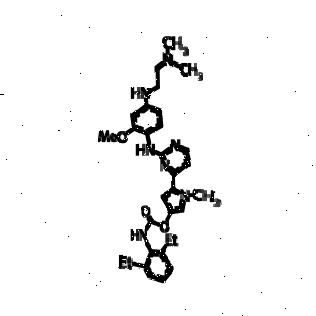 CCc1cccc(CC)c1NC(=O)Oc1cc(-c2ccnc(Nc3ccc(NCCN(C)C)cc3OC)n2)n(C)c1